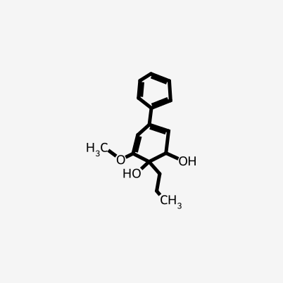 CCCC1(O)C(OC)=CC(c2ccccc2)=CC1O